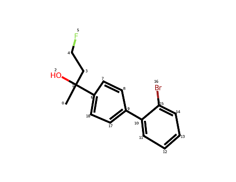 CC(O)(CCF)c1ccc(-c2ccccc2Br)cc1